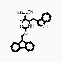 CCN(C#N)C(=O)C(Cc1c[nH]c2ccccc12)NC(=O)OCC1c2ccccc2-c2ccccc21